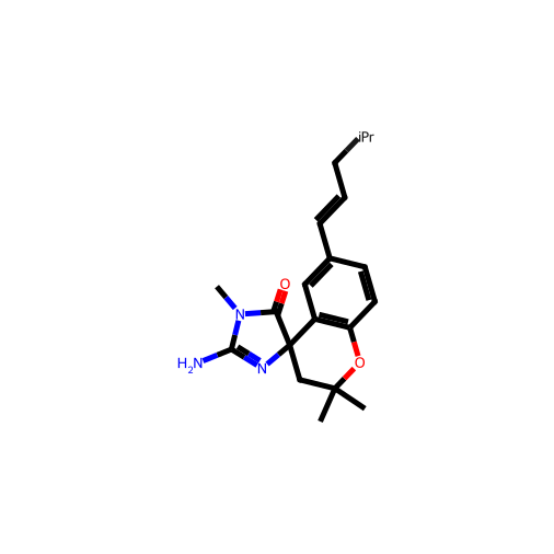 CC(C)C/C=C/c1ccc2c(c1)C1(CC(C)(C)O2)N=C(N)N(C)C1=O